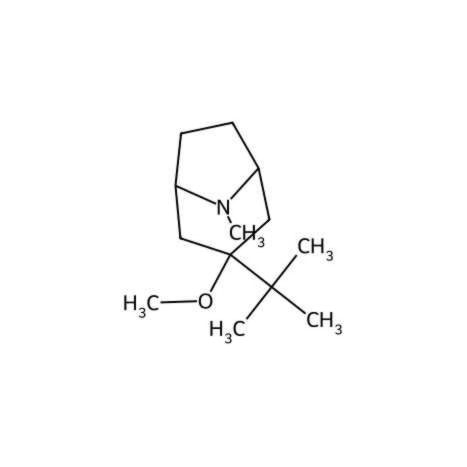 COC1(C(C)(C)C)CC2CCC(C1)N2C